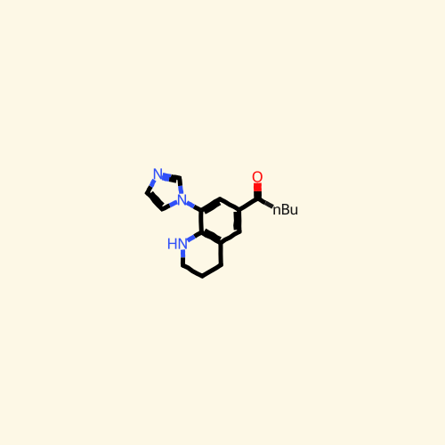 CCCCC(=O)c1cc2c(c(-n3ccnc3)c1)NCCC2